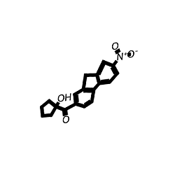 O=C(c1ccc2c(c1)Cc1cc([N+](=O)[O-])ccc1-2)C1(O)CCCC1